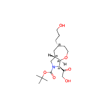 CC(C)(C)OC(=O)N1C[C@@H]2C[C@H](CCCO)CCO[C@H]2[C@H]1C(=O)CO